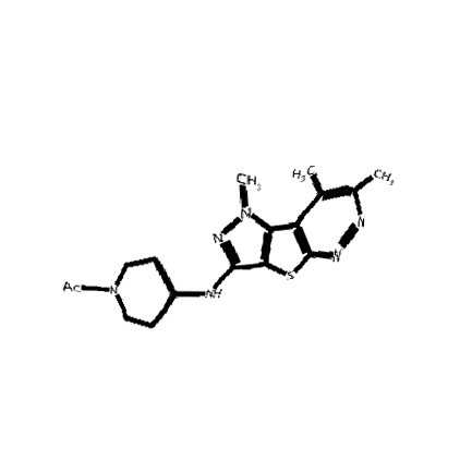 CC(=O)N1CCC(Nc2nn(C)c3c2sc2nnc(C)c(C)c23)CC1